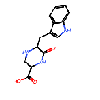 O=C(O)C1CNC(Cc2c[nH]c3ccccc23)C(=O)N1